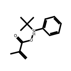 C=C(C)C(=O)O[SiH](c1ccccc1)C(C)(C)C